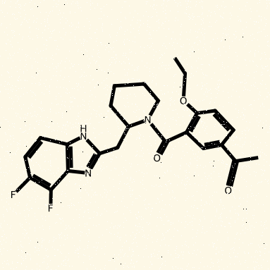 CCOc1ccc(C(C)=O)cc1C(=O)N1CCCCC1Cc1nc2c(F)c(F)ccc2[nH]1